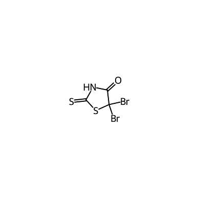 O=C1NC(=S)SC1(Br)Br